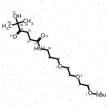 CCCCOCCOCCOCCCNC(=O)CCC(=O)C(C)(C)O